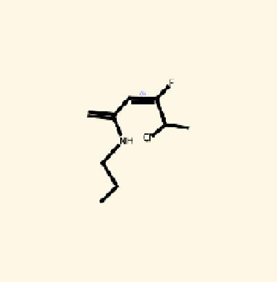 C=C(/C=C(/F)C(C)Cl)NCCC